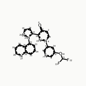 O=c1ccn(-c2cncc(OC(F)F)c2)nc1-c1ccnn1-c1cccc2ncccc12